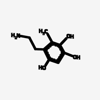 Cc1c(O)c(O)cc(O)c1CCN